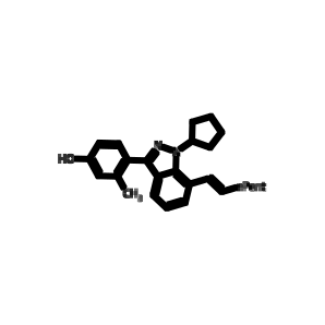 CCCCCC=Cc1cccc2c(-c3ccc(O)cc3C)nn(C3CCCC3)c12